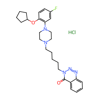 Cl.O=c1c2ccccc2nnn1CCCCCN1CCN(c2cc(F)ccc2OC2CCCC2)CC1